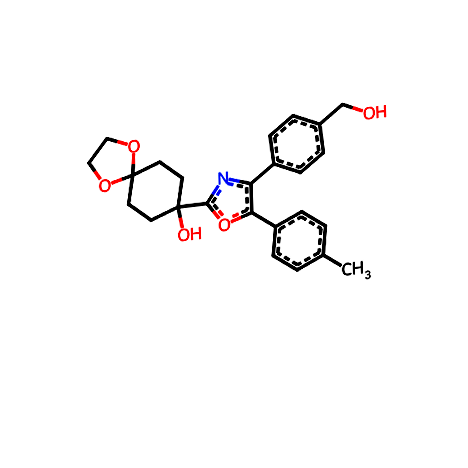 Cc1ccc(-c2oc(C3(O)CCC4(CC3)OCCO4)nc2-c2ccc(CO)cc2)cc1